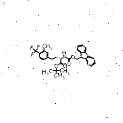 Cc1cc(CC[C@H](NC(=O)OCC2c3ccccc3-c3ccccc32)C(=O)OC(C)(C)C)ccc1C(F)(F)F